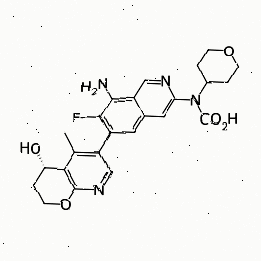 Cc1c(-c2cc3cc(N(C(=O)O)C4CCOCC4)ncc3c(N)c2F)cnc2c1[C@@H](O)CCO2